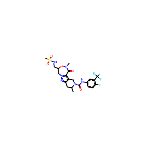 CC1Cc2nn3c(c2CN1C(=O)Nc1ccc(F)c(C(F)(F)F)c1)C(=O)N(C)OC(CNS(C)(=O)=O)C3